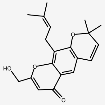 CC(C)=CCc1c2c(cc3c(=O)cc(CO)oc13)C=CC(C)(C)O2